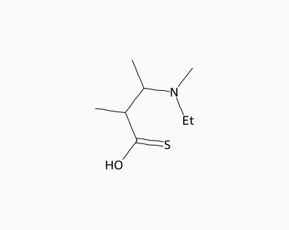 CCN(C)C(C)C(C)C(O)=S